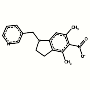 Cc1cc2c(c(C)c1[N+](=O)[O-])CCN2Cc1cccnc1